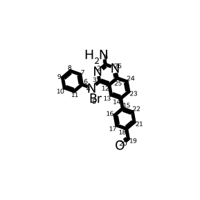 Nc1nc(N(Br)c2ccccc2)c2cc(-c3ccc(C=O)cc3)ccc2n1